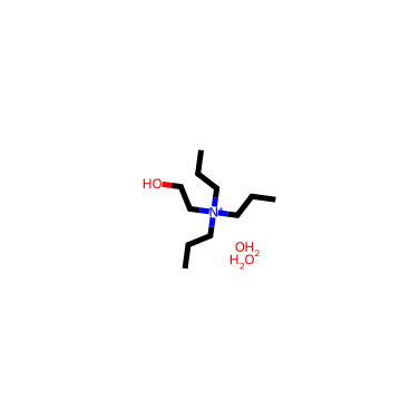 CCC[N+](CCC)(CCC)CCO.O.O